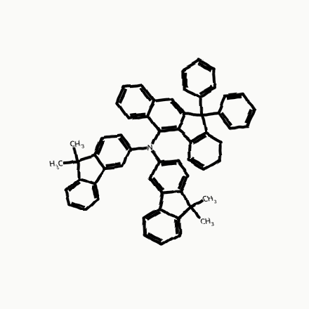 CC1(C)c2ccccc2-c2cc(N(c3ccc4c(c3)-c3ccccc3C4(C)C)c3c4c(cc5ccccc35)C(c3ccccc3)(c3ccccc3)C3=C4C=CCC3)ccc21